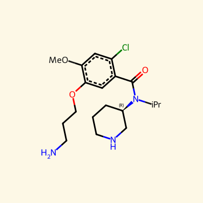 COc1cc(Cl)c(C(=O)N(C(C)C)[C@@H]2CCCNC2)cc1OCCCN